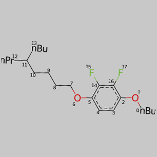 CCCCOc1ccc(OCCCCC(CCC)CCCC)c(F)c1F